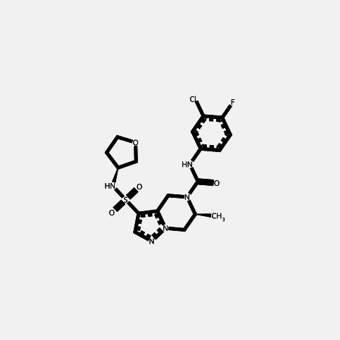 C[C@H]1Cn2ncc(S(=O)(=O)N[C@H]3CCOC3)c2CN1C(=O)Nc1ccc(F)c(Cl)c1